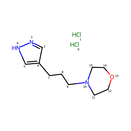 Cl.Cl.c1n[nH]cc1CCCN1CCOCC1